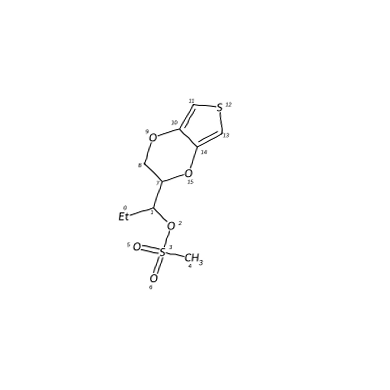 CCC(OS(C)(=O)=O)C1COc2cscc2O1